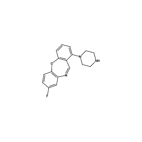 Fc1ccc2c(c1)N=Cc1c(cccc1N1CCNCC1)O2